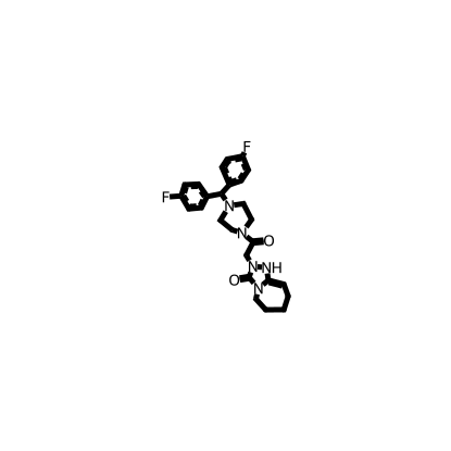 O=C(CN1NC2=CCCCCN2C1=O)N1CCN(C(c2ccc(F)cc2)c2ccc(F)cc2)CC1